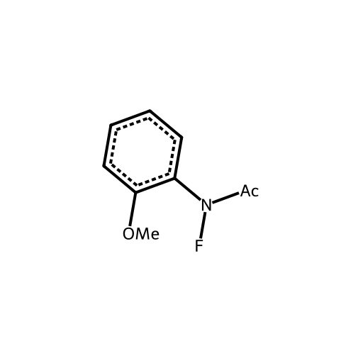 COc1ccccc1N(F)C(C)=O